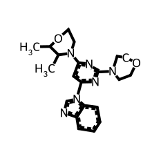 CC1OCCN(c2cc(-n3cnc4ccccc43)nc(N3CCOCC3)n2)C1C